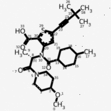 COC1CCN(C(=O)[C@H](C)N(C(=O)C2CCC(C)CC2)c2cc(C#CC(C)(C)C)sc2C(=O)O)CC1